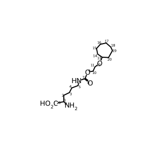 NC(CCCCNC(=O)OCCOC1CCCCCCC1)C(=O)O